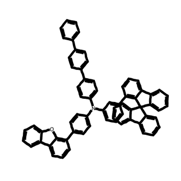 c1ccc(-c2ccc(-c3ccc(N(c4ccc(-c5cccc6c5oc5ccccc56)cc4)c4cccc(-c5cccc6c5C5(c7ccccc7-c7ccccc75)c5ccccc5-6)c4)cc3)cc2)cc1